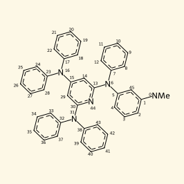 CNc1cccc(N(c2ccccc2)c2cc(N(c3ccccc3)c3ccccc3)cc(N(c3ccccc3)c3ccccc3)n2)c1